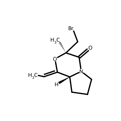 CC=C1O[C@@](C)(CBr)C(=O)N2CCC[C@H]12